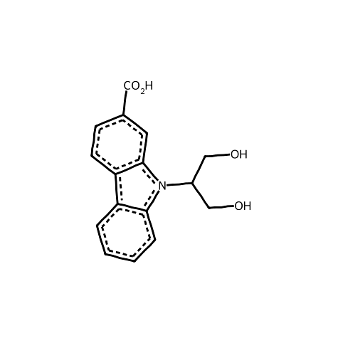 O=C(O)c1ccc2c3ccccc3n(C(CO)CO)c2c1